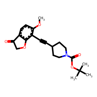 COc1ccc2c(c1C#CC1CCN(C(=O)OC(C)(C)C)CC1)OCC2=O